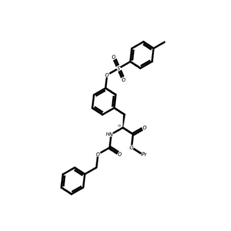 Cc1ccc(S(=O)(=O)Oc2cccc(C[C@H](NC(=O)OCc3ccccc3)C(=O)OC(C)C)c2)cc1